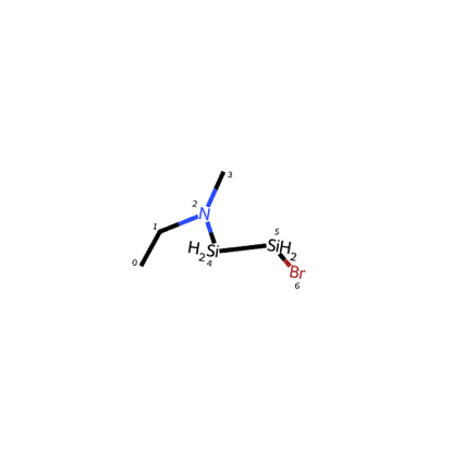 CCN(C)[SiH2][SiH2]Br